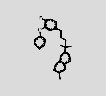 Cc1ccc2cc(C(C)(C)CCCc3ccc(F)c(Oc4ccccc4)c3)ccc2c1